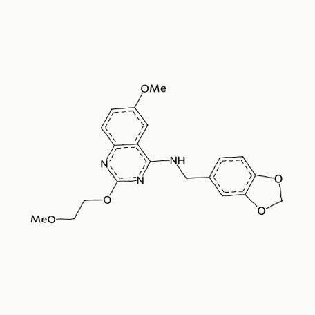 COCCOc1nc(NCc2ccc3c(c2)OCO3)c2cc(OC)ccc2n1